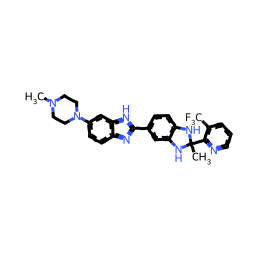 CN1CCN(c2ccc3nc(-c4ccc5c(c4)NC(C)(c4ncccc4C(F)(F)F)N5)[nH]c3c2)CC1